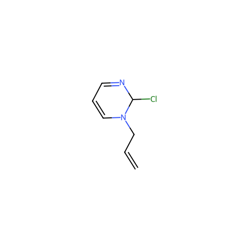 C=CCN1C=CC=NC1Cl